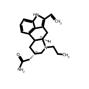 C=Cc1[nH]c2cccc3c2c1C[C@@H]1C3C[C@@H](CC(N)=O)CN1CCC